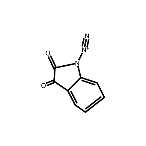 N#[N+]N1C(=O)C(=O)c2ccccc21